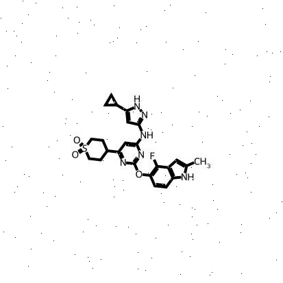 Cc1cc2c(F)c(Oc3nc(Nc4cc(C5CC5)[nH]n4)cc(C4CCS(=O)(=O)CC4)n3)ccc2[nH]1